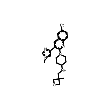 CCc1ccc2nc(N3CCC(NCC4(C)COC4)CC3)c(-c3cn(C)cn3)cc2c1